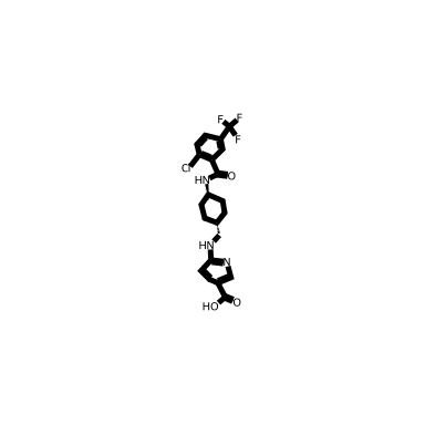 O=C(O)c1ccc(NC[C@H]2CC[C@H](NC(=O)c3cc(C(F)(F)F)ccc3Cl)CC2)nc1